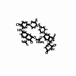 CNC(=O)COc1cc2cc(Nc3nc(N4CC[C@@H](CN5CCN(c6ccc7c(C8CCC(=O)NC8=O)nn(C)c7c6)CC5)[C@H](F)C4)ncc3Cl)cnc2n(C(C)C)c1=O